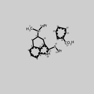 CCCN(C)C1Cc2cccc3[nH]c(SC(C)C)c(c23)C1.O=C(O)c1ccccc1